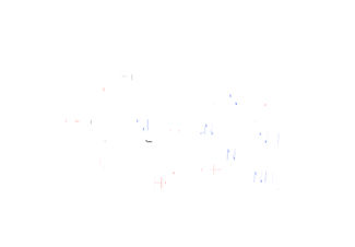 CCOc1c(NC[C@H]2O[C@@H](n3cnc4c(=O)[nH]c(N)nc43)[C@H](O)[C@H]2O)c(=O)c1=O